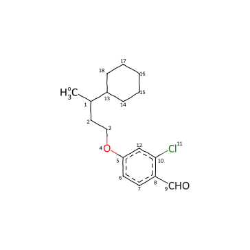 CC(CCOc1ccc(C=O)c(Cl)c1)C1CCCCC1